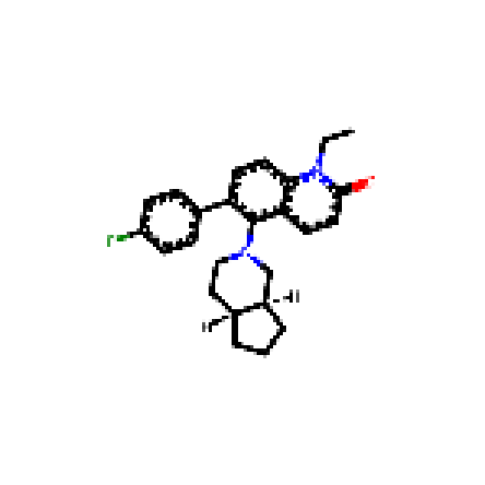 CCn1c(=O)ccc2c(N3CC[C@H]4CCC[C@@H]4C3)c(-c3ccc(F)cc3)ccc21